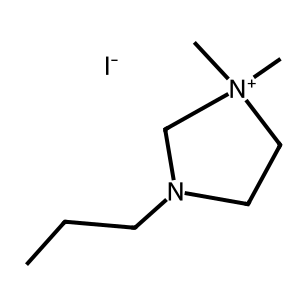 CCCN1CC[N+](C)(C)C1.[I-]